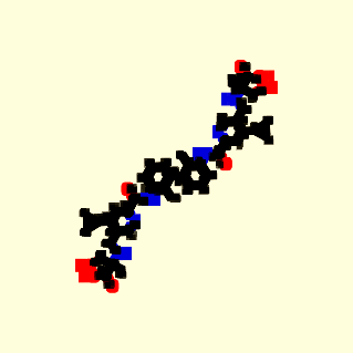 Cc1c(NC(=O)c2cc(C3CC3)c(CNC(C)(CO)C(=O)O)cn2)cccc1-c1cccc(NC(=O)c2cc(C3CC3)c(CNC(C)(CO)C(=O)O)cn2)c1C